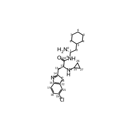 N[C@H](CC1CCCCC1)NC(=O)[C@H](Cc1nc2ccc(Cl)cc2s1)NC1CC1